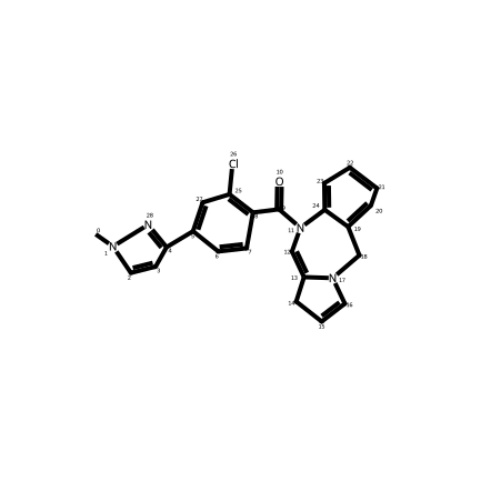 Cn1ccc(-c2ccc(C(=O)N3C=C4CC=CN4Cc4ccccc43)c(Cl)c2)n1